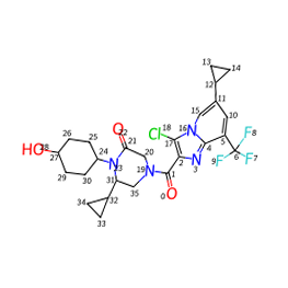 O=C(c1nc2c(C(F)(F)F)cc(C3CC3)cn2c1Cl)N1CC(=O)N(C2CCC(O)CC2)C(C2CC2)C1